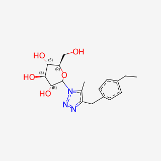 CCc1ccc(Cc2nnn(C3O[C@H](CO)[C@@H](O)[C@H](O)[C@H]3O)c2C)cc1